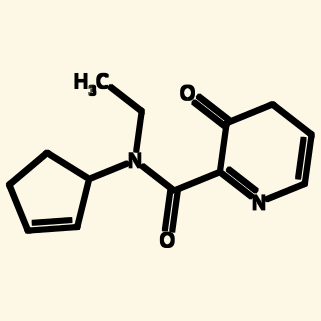 CCN(C(=O)C1=NC=CCC1=O)C1C=CCC1